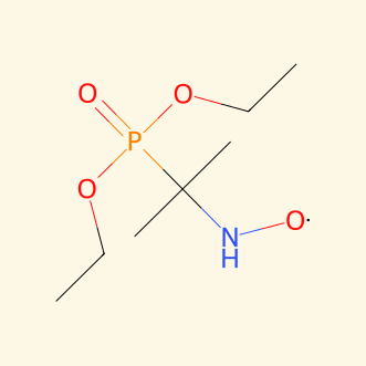 CCOP(=O)(OCC)C(C)(C)N[O]